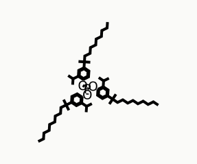 CCCCCCCCCC(C)(C)c1ccc(OP(Oc2ccc(C(C)(C)CCCCCCCCC)cc2C(C)C)Oc2ccc(C(C)(C)CCCCCCCCC)cc2C(C)C)c(C(C)C)c1